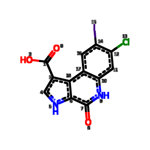 O=C(O)c1c[nH]c2c(=O)[nH]c3cc(Cl)c(I)cc3c12